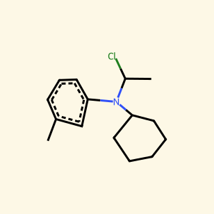 Cc1cccc(N(C(C)Cl)C2CCCCC2)c1